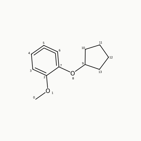 COC1=CC=C=C=C1OC1CCCC1